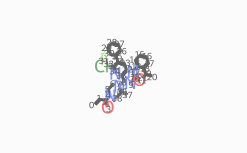 C=CC(=O)N1CCN(c2nc(=O)n(-c3ccccc3C(C)C)c3cc(-c4ccccc4F)c(Cl)nc23)[C@@H](C)C1